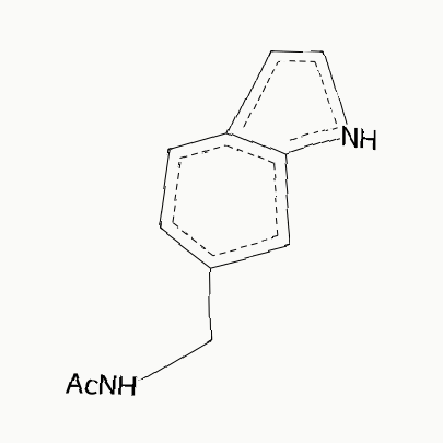 CC(=O)NCc1ccc2cc[nH]c2c1